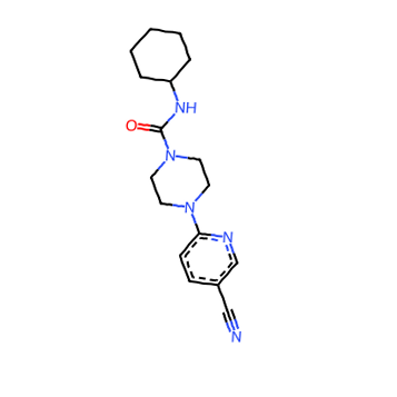 N#Cc1ccc(N2CCN(C(=O)NC3CCCCC3)CC2)nc1